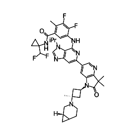 Cc1c(C(=O)NC2(C(F)F)CC2)cc(Nc2nc(-c3cnc4c(c3)N([C@H]3C[C@@](C)(N5CCC6C[C@@H]6C5)C3)C(=O)C4(C)C)cc3ncn(C(C)C)c23)c(F)c1F